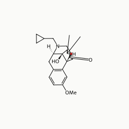 COc1ccc2c(c1)[C@]13CCN(CC4CC4)[C@H](C2)[C@]1(O)CC(C)(C)NC(=O)C3